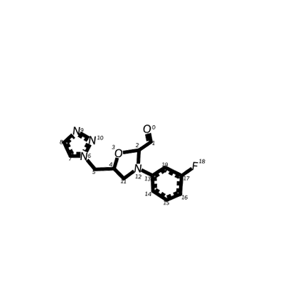 O=CC1OC(Cn2ccnn2)CN1c1cccc(F)c1